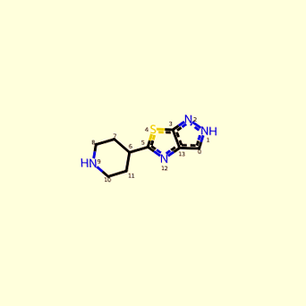 c1[nH]nc2sc(C3CCNCC3)nc12